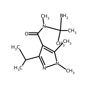 BC(C)(C)N(C)C(=O)c1c(C(C)C)nn(C)c1C